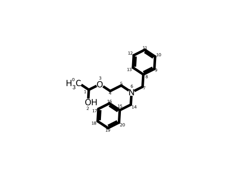 CC(O)OCCN(Cc1ccccc1)Cc1ccccc1